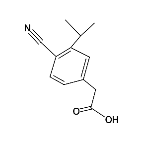 CC(C)c1cc(CC(=O)O)ccc1C#N